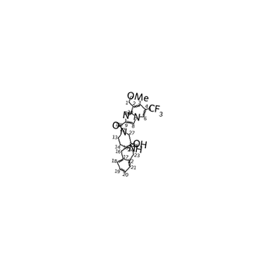 COCc1cc(C(F)(F)F)cn2cc(C(=O)N3CCC4(Cc5ccccc5CN4)C(O)C3)nc12